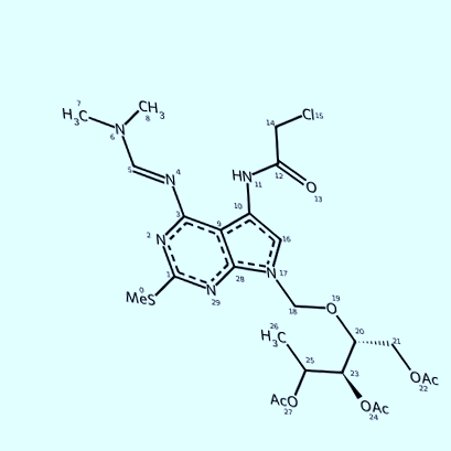 CSc1nc(/N=C/N(C)C)c2c(NC(=O)CCl)cn(CO[C@H](COC(C)=O)[C@@H](OC(C)=O)C(C)OC(C)=O)c2n1